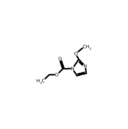 CCOC(=O)n1ccnc1OC